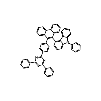 c1ccc(-c2nc(-c3ccccc3)nc(-c3ccc(-c4c(-c5cccc6c5c5ccccc5n6-c5ccccc5)c5ccccc5c5ccccc45)cc3)n2)cc1